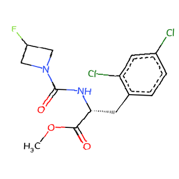 COC(=O)[C@@H](Cc1ccc(Cl)cc1Cl)NC(=O)N1CC(F)C1